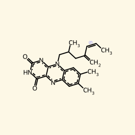 C=C(/C=C\C)CC(C)Cn1c2nc(=O)[nH]c(=O)c-2nc2cc(C)c(C)cc21